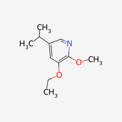 CCOc1cc(C(C)C)cnc1OC